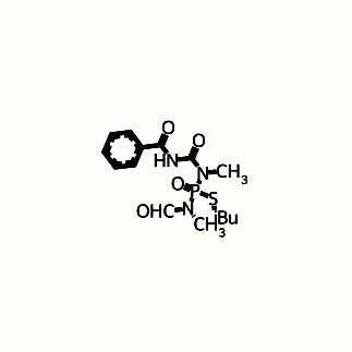 CCC(C)SP(=O)(N(C)C=O)N(C)C(=O)NC(=O)c1ccccc1